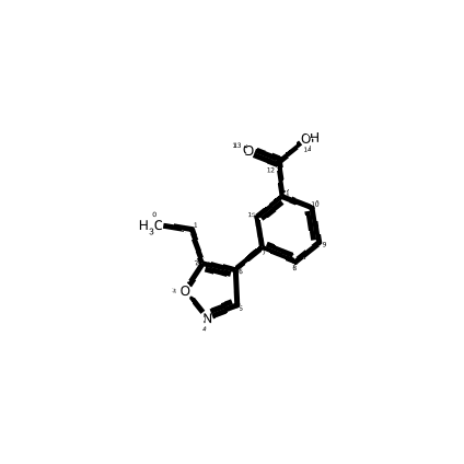 CCc1oncc1-c1cccc(C(=O)O)c1